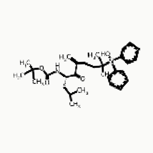 C=C(CCC(C)(C)[Si](O)(c1ccccc1)c1ccccc1)C(=O)[C@H](CC(C)C)NC(=O)OC(C)(C)C